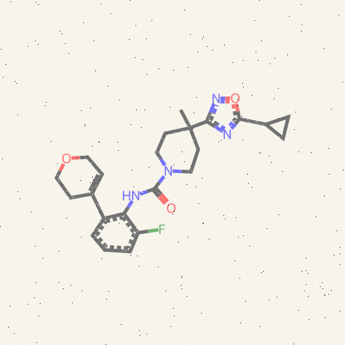 CC1(c2noc(C3CC3)n2)CCN(C(=O)Nc2c(F)cccc2C2=CCOCC2)CC1